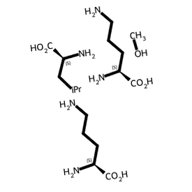 CC(C)C[C@H](N)C(=O)O.CO.NCCC[C@H](N)C(=O)O.NCCC[C@H](N)C(=O)O